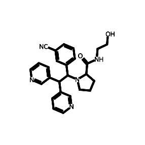 N#Cc1cccc(C(C(c2cccnc2)c2cccnc2)N2CCCC2C(=O)NCCO)c1